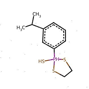 CC(C)c1cccc([PH]2(S)SCCS2)c1